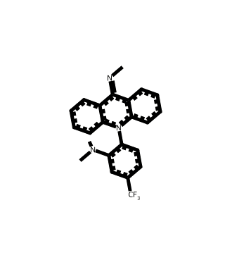 CN=c1c2ccccc2n(-c2ccc(C(F)(F)F)cc2N(C)C)c2ccccc12